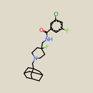 O=C(NCC1(F)CCN(CC23CC4CC(CC(C4)C2)C3)CC1)c1cc(F)cc(Cl)c1